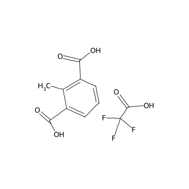 Cc1c(C(=O)O)cccc1C(=O)O.O=C(O)C(F)(F)F